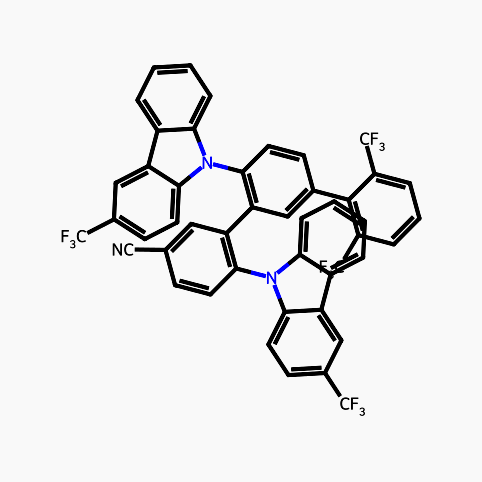 N#Cc1ccc(-n2c3ccccc3c3cc(C(F)(F)F)ccc32)c(-c2cc(-c3c(C(F)(F)F)cccc3C(F)(F)F)ccc2-n2c3ccccc3c3cc(C(F)(F)F)ccc32)c1